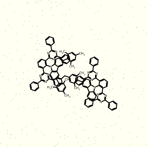 Cc1cc(C)c(-c2ccc3c(c2)c2cc(-c4c(C)cc(C)cc4C)ccc2n3-c2c(-c3nc(-c4ccccc4)nc(-c4ccccc4)n3)cccc2-c2nc(-c3ccccc3)nc(-c3cccc(Cc4cc(C)c(-c5ccc6c(c5)c5ccccc5n6-c5c(-c6nc(-c7ccccc7)nc(-c7ccccc7)n6)cccc5-c5nc(-c6ccccc6)nc(-c6ccccc6)n5)c(C)c4)c3)n2)c(C)c1